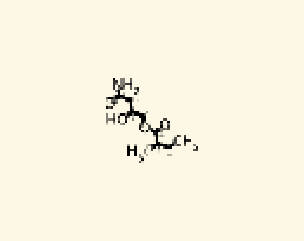 CCC(C)C(=O)OCC(O)CC(N)=O